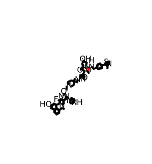 CCc1cccc2cc(O)cc(-c3ncc4c(N5CC6CCCC5CN6)nc(OCCN5CCC6(CC5)CN(c5cc([C@@H](C(=O)N7C[C@H](O)C[C@H]7C(=O)NCc7ccc(-c8scnc8C)cc7)C(C)C)on5)C6)nc4c3F)c12